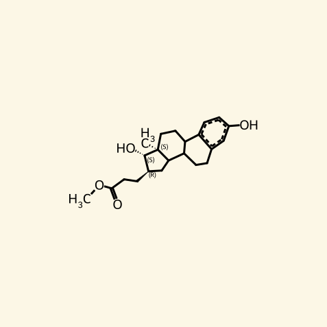 COC(=O)CC[C@@H]1CC2C3CCc4cc(O)ccc4C3CC[C@]2(C)[C@H]1O